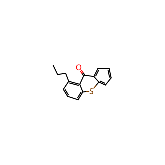 CCCc1cccc2sc3ccccc3c(=O)c12